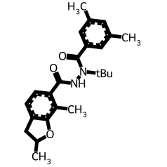 Cc1cc(C)cc(C(=O)N(NC(=O)c2ccc3c(c2C)OC(C)C3)C(C)(C)C)c1